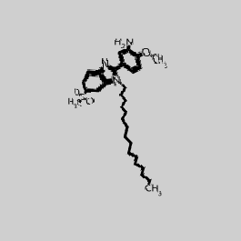 CCCCCCCCCCCCCCCCn1c(-c2ccc(OC)c(N)c2)nc2ccc(S(C)(=O)=O)cc21